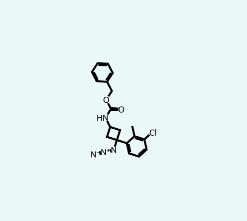 Cc1c(Cl)cccc1C1(N=[N+]=[N-])CC(NC(=O)OCc2ccccc2)C1